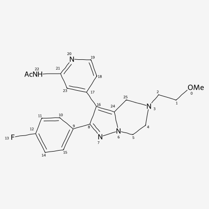 COCCN1CCn2nc(-c3ccc(F)cc3)c(-c3ccnc(NC(C)=O)c3)c2C1